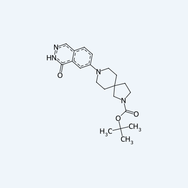 CC(C)(C)OC(=O)N1CCC2(CCN(c3ccc4cn[nH]c(=O)c4c3)CC2)C1